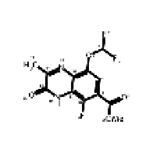 COC(=O)c1cc(OC(F)F)c2nc(C)c(=O)[nH]c2c1F